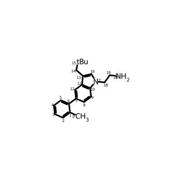 Cc1ccccc1-c1ccc2c(c1)c(CC(C)(C)C)cn2CCN